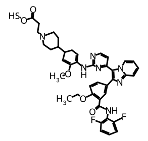 CCOc1ccc(-c2nc3ccccn3c2-c2ccnc(NC3=CCC(C4CCN(CCC(=O)OS)CC4)C=C3OC)n2)cc1C(=O)Nc1c(F)cccc1F